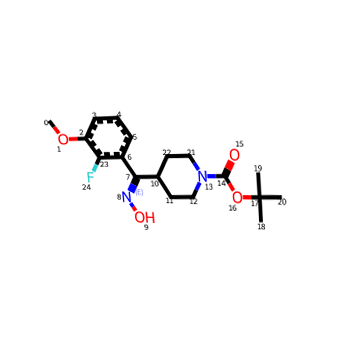 COc1cccc(/C(=N/O)C2CCN(C(=O)OC(C)(C)C)CC2)c1F